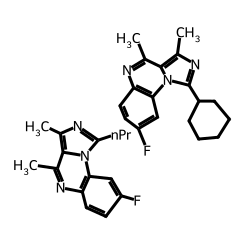 CCCc1nc(C)c2c(C)nc3ccc(F)cc3n12.Cc1nc(C2CCCCC2)n2c1c(C)nc1ccc(F)cc12